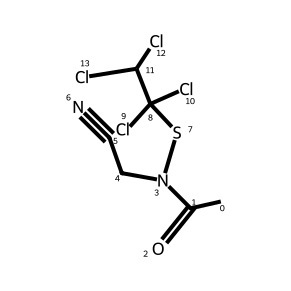 CC(=O)N(CC#N)SC(Cl)(Cl)C(Cl)Cl